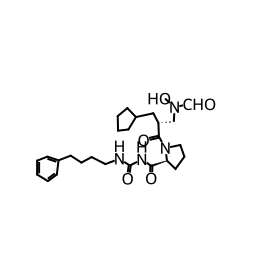 O=CN(O)C[C@@H](CC1CCCC1)C(=O)N1CCC[C@H]1C(=O)NC(=O)NCCCCc1ccccc1